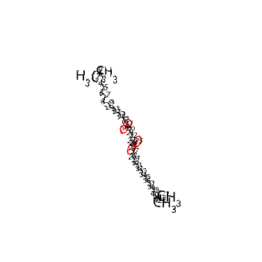 CC(C)CCCCCCCCCCCCCCOC(=O)CCCCC(=O)OCCCCCCCCCCCCCCC(C)C